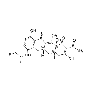 CC(CF)Nc1ccc(O)c2c1C[C@H]1C[C@H]3CC(O)=C(C(N)=O)C(=O)[C@@]3(O)C(O)=C1C2=O